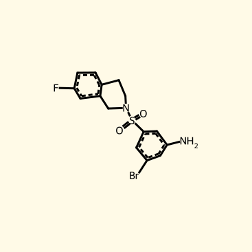 Nc1cc(Br)cc(S(=O)(=O)N2CCc3ccc(F)cc3C2)c1